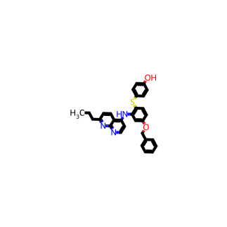 CCCc1ccc2c(Nc3cc(OCc4ccccc4)ccc3Sc3ccc(O)cc3)ccnc2n1